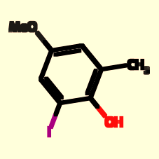 COc1cc(C)c(O)c(I)c1